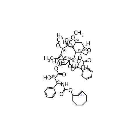 CO[C@H]1C(=O)[C@@]2(C)C([C@H](OC(=O)c3ccccc3)[C@]3(O)C[C@H](OC(=O)[C@H](O)[C@@H](NC(=O)OC4/C=C/CCCCC4)c4ccccc4)C(C)=C1[C@H]3C)[C@]1(OC(C)=O)CO[C@@H]1C[C@@H]2OC